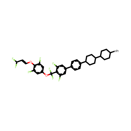 CCCC1CCC(C2CCC(c3ccc(-c4cc(F)c(C(F)(F)Oc5cc(F)c(O/C=C/C(F)F)c(F)c5)c(F)c4)cc3)CC2)CC1